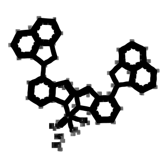 CC1=Cc2c(C3Cc4cccc5cccc3c45)cccc2[CH]1[Zr]([CH3])([CH3])(=[SiH2])[CH]1C(C)=Cc2c(C3Cc4cccc5cccc3c45)cccc21.Cl.Cl